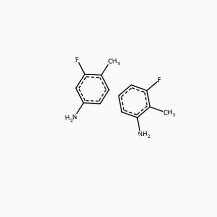 Cc1c(N)cccc1F.Cc1ccc(N)cc1F